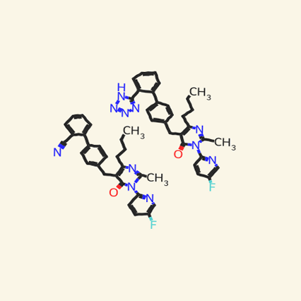 CCCCc1nc(C)n(-c2ccc(F)cn2)c(=O)c1Cc1ccc(-c2ccccc2-c2nnn[nH]2)cc1.CCCCc1nc(C)n(-c2ccc(F)cn2)c(=O)c1Cc1ccc(-c2ccccc2C#N)cc1